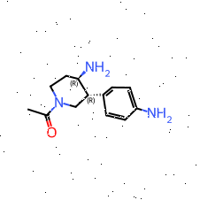 CC(=O)N1CC[C@@H](N)[C@H](c2ccc(N)cc2)C1